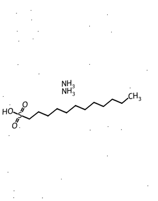 CCCCCCCCCCCCS(=O)(=O)O.N.N